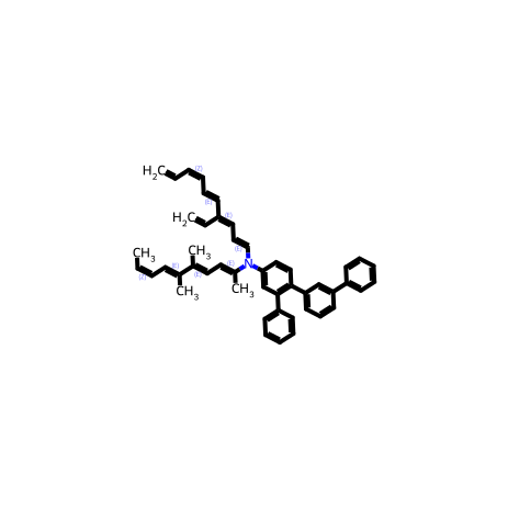 C=C\C=C/C=C/C(C=C)=C/C=C/N(/C(C)=C/C=C(C)/C(C)=C/C=C\C)c1ccc(-c2cccc(-c3ccccc3)c2)c(-c2ccccc2)c1